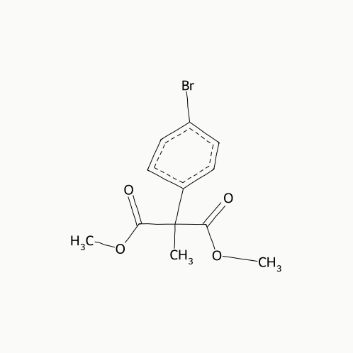 COC(=O)C(C)(C(=O)OC)c1ccc(Br)cc1